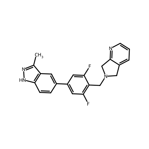 Cc1n[nH]c2ccc(-c3cc(F)c(CN4Cc5cccnc5C4)c(F)c3)cc12